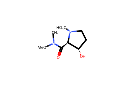 CON(C)C(=O)[C@@H]1[C@@H](O)CCN1C(=O)O